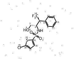 O=S(=O)(N[C@H](CO)[C@H](c1ccccc1)C(F)(F)F)c1ccc(Cl)s1